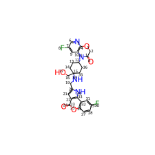 O=C1COc2ncc(F)cc2N1C1CCC(CO)(NCc2cc3c(=O)oc4ccc(F)cc4c3[nH]2)CC1